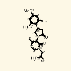 COc1cc(F)c([C@H]2CC(=O)N(c3c(C)ncn(CC(F)P)c3=O)C2)c(P)c1